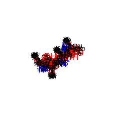 CO[C@H]1OC(COS(=O)(=O)O)[C@@H](O[C@H]2C[C@H](OCc3ccccc3)C(O[C@@H]3OC(CO)[C@@H](O[C@H]4C[C@H](OCc5ccccc5)[C@H](O[C@@H]5OC(COS(=O)(=O)O)[C@@H](O[C@H]6C[C@H](OCc7ccccc7)[C@H](O[C@@H]7OC(COS(=O)(=O)O)[C@@H](O[C@H]8C[C@H](OCc9ccccc9)[C@H](C)CO8)[C@H](C)C7N=[N+]=[N-])CO6)[C@H](C)C5N=[N+]=[N-])CO4)[C@H](C)C3N=[N+]=[N-])CO2)[C@H](C)C1C